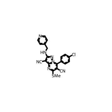 CSc1nc2c(C#N)c(NCc3ccncc3)nn2c(-c2ccc(Cl)cc2)c1C#N